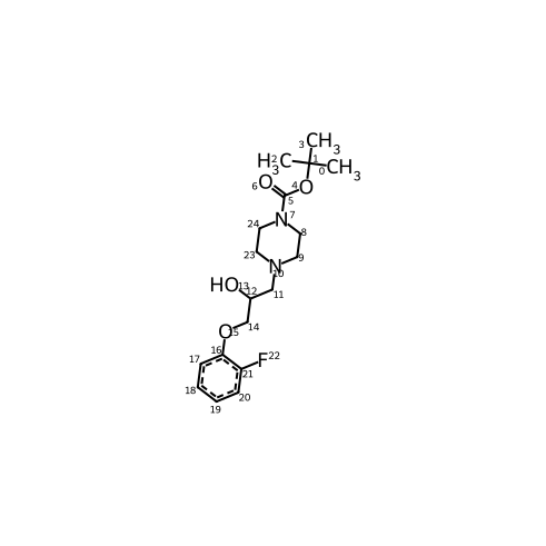 CC(C)(C)OC(=O)N1CCN(CC(O)COc2ccccc2F)CC1